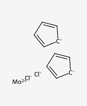 [Cl-].[Cl-].[Mo+2].c1cc[cH-]c1.c1cc[cH-]c1